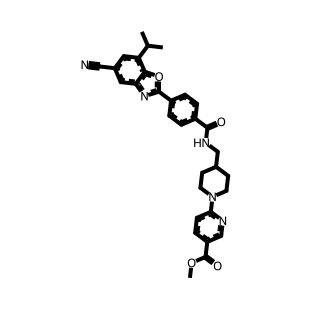 COC(=O)c1ccc(N2CCC(CNC(=O)c3ccc(-c4nc5cc(C#N)cc(C(C)C)c5o4)cc3)CC2)nc1